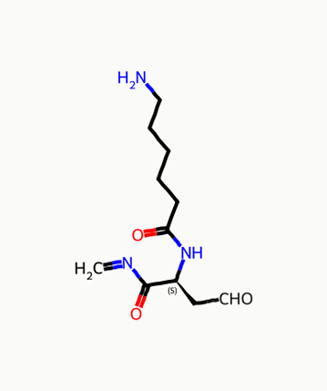 C=NC(=O)[C@H](CC=O)NC(=O)CCCCCN